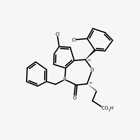 O=C(O)CC[C@H]1O[C@H](c2ccccc2Cl)c2cc(Cl)ccc2N(Cc2ccccc2)C1=O